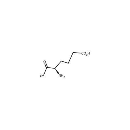 CC(C)C(=O)[C@H](N)CCCC(=O)O